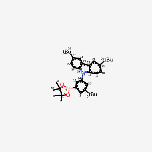 CC(C)(C)c1cc(B2OC(C)(C)C(C)(C)O2)cc(-n2c3ccc(C(C)(C)C)cc3c3cc(C(C)(C)C)ccc32)c1